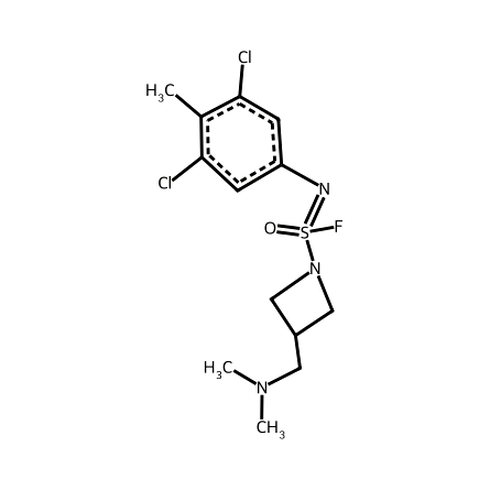 Cc1c(Cl)cc(N=S(=O)(F)N2CC(CN(C)C)C2)cc1Cl